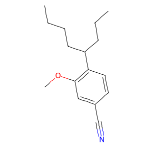 CCCCC(CCC)c1ccc(C#N)cc1OC